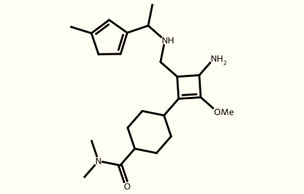 COC1=C(C2CCC(C(=O)N(C)C)CC2)C(CNC(C)C2=CCC(C)=C2)C1N